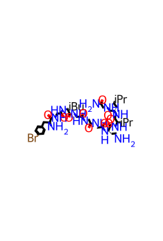 CC[C@H](C)C(NC(=O)CNC(=O)C(N)Cc1ccc(Br)cc1)C(=O)NCC(=O)NCC(=O)NCC(=O)N[C@@H](CCN)C(=O)NC(C(=O)N[C@@H](CCC(C)C)C(=O)NCC(N)=O)C(C)C